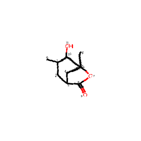 CC1CC2CC(C)(OC2=O)C1O